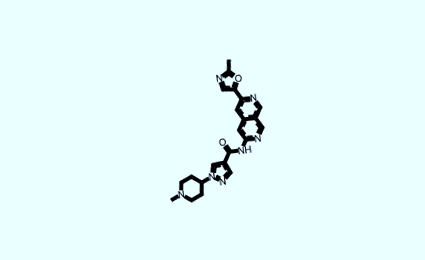 Cc1ncc(-c2cc3cc(NC(=O)c4cnn(C5CCN(C)CC5)c4)ncc3cn2)o1